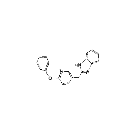 c1ccc(Oc2ccc(Cc3nc4ccccc4[nH]3)cn2)cc1